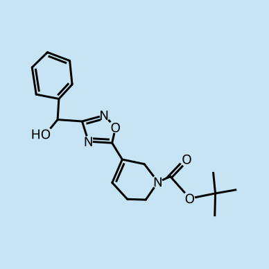 CC(C)(C)OC(=O)N1CCC=C(c2nc(C(O)c3ccccc3)no2)C1